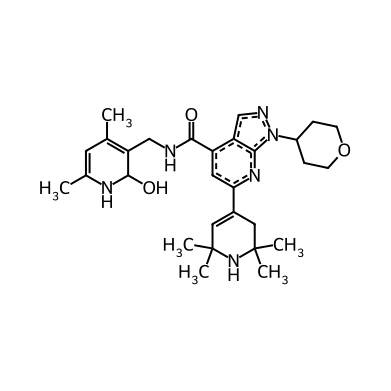 CC1=CC(C)=C(CNC(=O)c2cc(C3=CC(C)(C)NC(C)(C)C3)nc3c2cnn3C2CCOCC2)C(O)N1